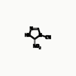 N#CN1C=NNC1[N+](=O)[O-]